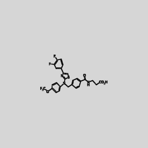 O=C(O)CCNC(=O)c1ccc(CN(c2ccc(OC(F)(F)F)cc2)c2nc(-c3ccc(F)c(F)c3)cs2)cc1